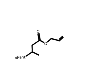 C=CCOC(=O)CC(C)CCCCC